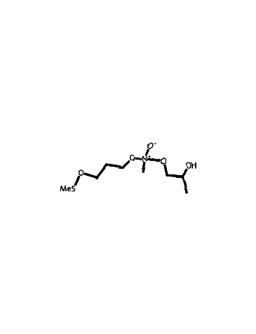 CSOCCCO[N+](C)([O-])OCC(C)O